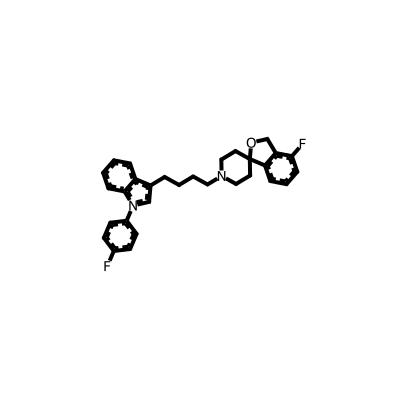 Fc1ccc(-n2cc(CCCCN3CCC4(CC3)OCc3c(F)cccc34)c3ccccc32)cc1